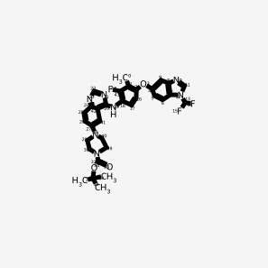 Cc1c(Oc2ccc3c(c2)ncn3C(F)F)ccc(Nc2ncnc3ccc(N4CCN(C(=O)OC(C)(C)C)CC4)cc23)c1F